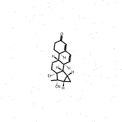 CC[C@]12CC[C@H]3[C@@H](C=CC4=CC(=O)CC[C@@H]43)[C@@H]1[C@@H]1C[C@@H]1[C@]2(C)C#N